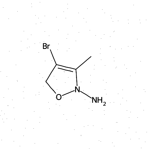 CC1=C(Br)CON1N